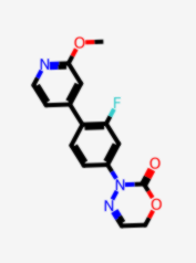 COc1cc(-c2ccc(N3N=CCOC3=O)cc2F)ccn1